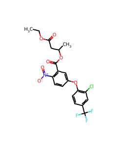 CCOC(=O)CC(C)OC(=O)c1cc(Oc2ccc(C(F)(F)F)cc2Cl)ccc1[N+](=O)[O-]